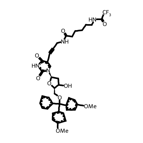 COc1ccc(C(OC[C@H]2O[C@@H](n3cc(C#CCNC(=O)CCCCCNC(=O)C(F)(F)F)c(=O)[nH]c3=O)CC2O)(c2ccccc2)c2ccc(OC)cc2)cc1